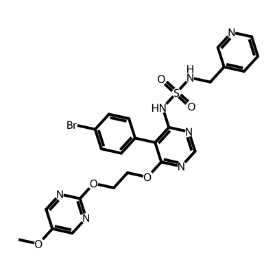 COc1cnc(OCCOc2ncnc(NS(=O)(=O)NCc3cccnc3)c2-c2ccc(Br)cc2)nc1